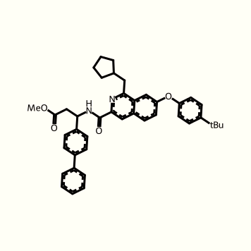 COC(=O)CC(NC(=O)c1cc2ccc(Oc3ccc(C(C)(C)C)cc3)cc2c(CC2CCCC2)n1)c1ccc(-c2ccccc2)cc1